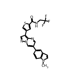 Cn1ccc2cc(-c3cnc4c(-c5csc(C(=O)NCC(F)(F)F)c5)cnn4c3)ccc21